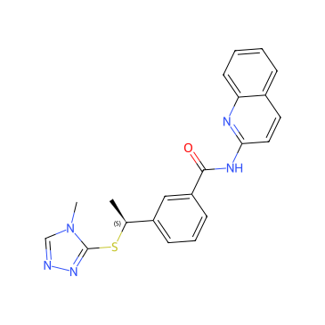 C[C@H](Sc1nncn1C)c1cccc(C(=O)Nc2ccc3ccccc3n2)c1